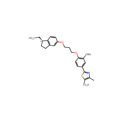 COc1cc(-c2nc(C)c(C(=O)O)s2)ccc1OCCCOc1ccc2c(c1)CC[C@H]2CC(=O)O